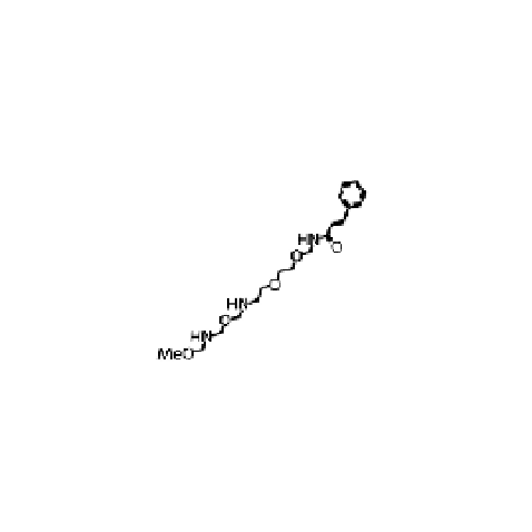 COCNCOCNCCOCCOCNC(=O)C=Cc1ccccc1